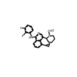 O=CN1CCCCC1c1cnc(Nc2cccc(F)c2F)c2cccc(C3CC3)c12